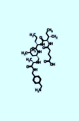 CCC[C@H](NC(=O)[C@@H](NC(=O)CCCC(=O)O)[C@@H](C)CC)C(=O)N[C@H](CN[C@@H](C)C(=O)NCc1ccc(CN)cc1)CC(C)C